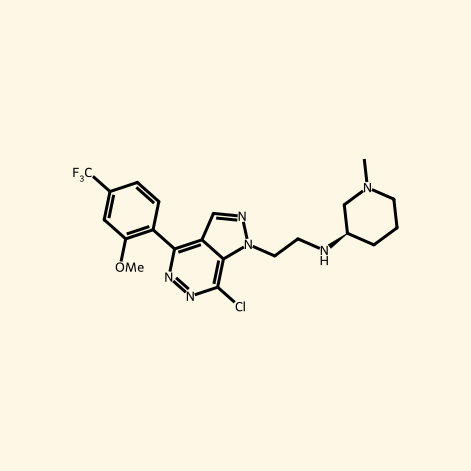 COc1cc(C(F)(F)F)ccc1-c1nnc(Cl)c2c1cnn2CCN[C@@H]1CCCN(C)C1